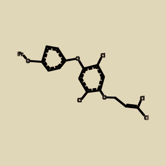 CC(C)Oc1ccc(Oc2cc(Cl)c(OCC=C(Cl)Cl)cc2Cl)cc1